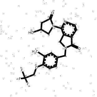 Cc1cc(CN2Cc3c(ccnc3N3CC(O)CC3=O)C2=O)ccc1OCC(F)(F)F